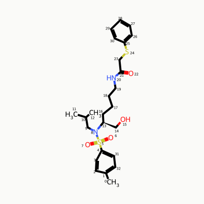 Cc1ccc(S(=O)(=O)N(CC(C)C)[C@H](CO)CCCCNC(=O)CSc2ccccc2)cc1